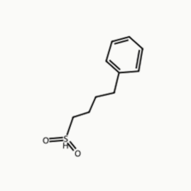 O=[SH](=O)CCCCc1ccccc1